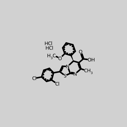 COc1ccccc1[C@H]1C(C(=O)O)=C(C)N=C2SC(c3ccc(Cl)cc3Cl)=CN21.Cl.Cl